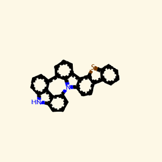 c1ccc2c(c1)sc1c2ccc2c1c1cccc3c4cccc5[nH]c6cccc(c6c54)n2c31